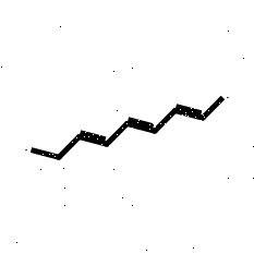 [CH2]C=CC=CC=CC[CH2]